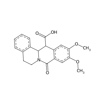 COc1cc2c(cc1OC)C(C(=O)O)C1c3ccccc3CCN1C2=O